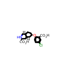 O=C(O)c1cc(Cl)ccc1O[C@H]1CC[C@H]2CN[C@H](C(=O)O)C[C@H]2C1